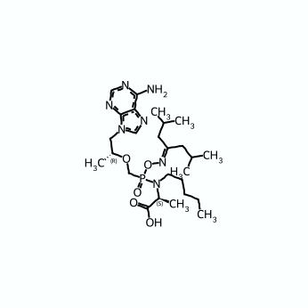 CCCCCN([C@@H](C)C(=O)O)P(=O)(CO[C@H](C)Cn1cnc2c(N)ncnc21)ON=C(CC(C)C)CC(C)C